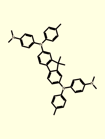 Cc1ccc(N(c2ccc(N(C)C)cc2)c2ccc3c(c2)C(C)(C)c2cc(N(c4ccc(C)cc4)c4ccc(N(C)C)cc4)ccc2-3)cc1